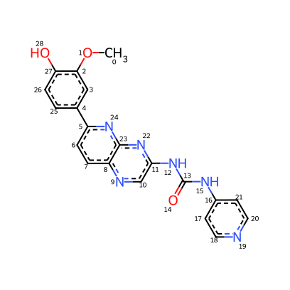 COc1cc(-c2ccc3ncc(NC(=O)Nc4ccncc4)nc3n2)ccc1O